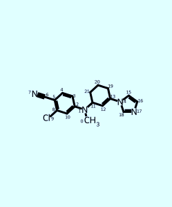 CN(c1ccc(C#N)c(Cl)c1)C1C=C(n2ccnc2)CCC1